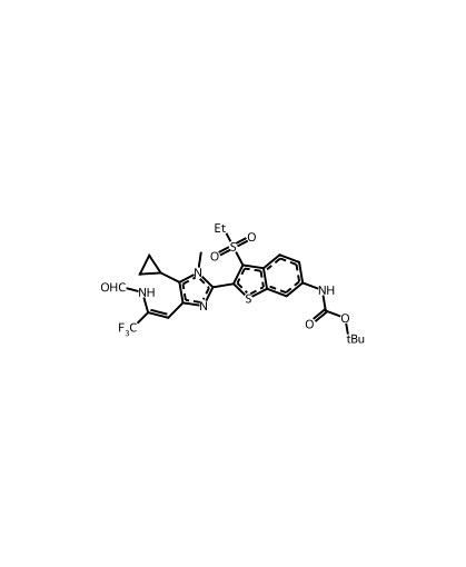 CCS(=O)(=O)c1c(-c2nc(/C=C(\NC=O)C(F)(F)F)c(C3CC3)n2C)sc2cc(NC(=O)OC(C)(C)C)ccc12